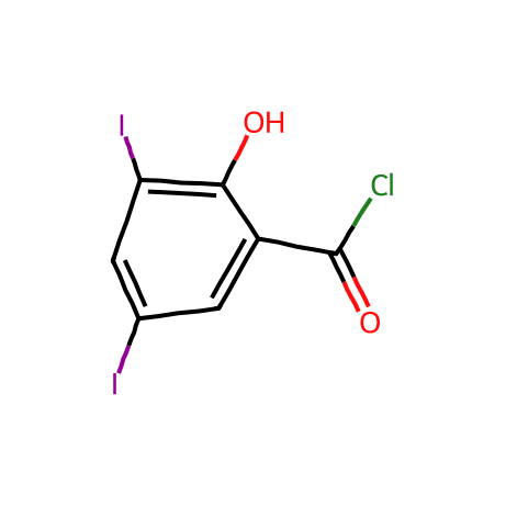 O=C(Cl)c1cc(I)cc(I)c1O